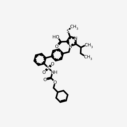 CCC(C)c1nc(SC)c(C(=O)O)n1Cc1ccc(-c2ccccc2S(=O)(=O)NC(=O)OCC2CC=CCC2)cc1